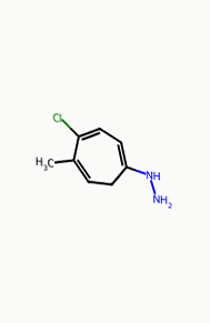 CC1=CCC(NN)=CC=C1Cl